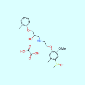 COc1cc([S+](C)[O-])c(C)cc1OCCNCC(O)COc1ccccc1C.O=C(O)C(=O)O